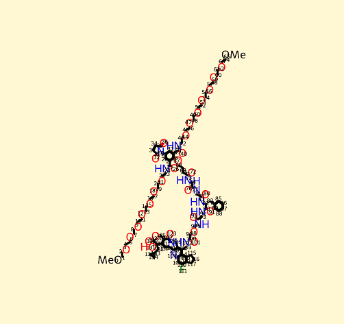 COCCOCCOCCOCCOCCOCCOCCOCCNC(=O)c1cc(N2C(=O)C=CC2=O)cc(C(=O)NCCOCCOCCOCCOCCOCCOCCOCCOC)c1OCCCC(=O)NCC(=O)NCC(=O)N[C@@H](Cc1ccccc1)C(=O)NCC(=O)NCOCC(=O)NCc1c2c(nc3cc(F)c4c(c13)CCC4)-c1cc3c(c(=O)n1C2)COC(=O)[C@]3(O)CC1CC1